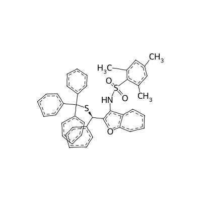 Cc1cc(C)c(S(=O)(=O)Nc2c([C@H](SC(c3ccccc3)(c3ccccc3)c3ccccc3)c3ccccc3)oc3ccccc23)c(C)c1